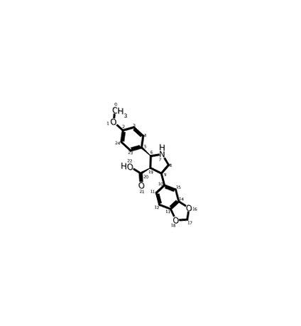 COc1ccc([C@H]2NCC(c3ccc4c(c3)OCO4)[C@H]2C(=O)O)cc1